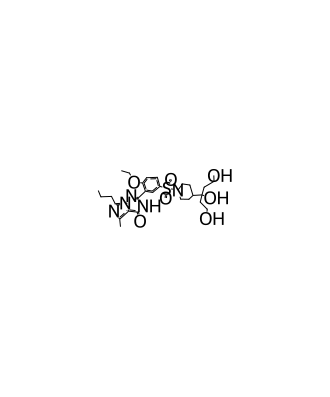 CCCc1nc(C)c2c(=O)[nH]c(-c3cc(S(=O)(=O)N4CCC(C(O)(CCO)CCO)CC4)ccc3OCC)nn12